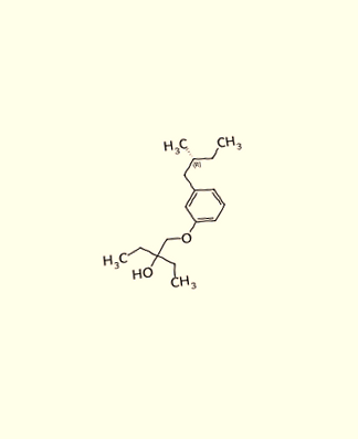 CC[C@@H](C)Cc1cccc(OCC(O)(CC)CC)c1